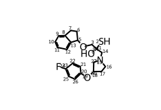 O[C@](S)(COC1CCc2ccccc21)CN1CC[C@@H](Oc2ccc(F)cc2)C1